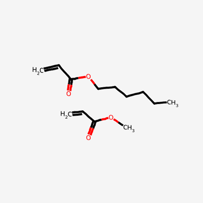 C=CC(=O)OC.C=CC(=O)OCCCCCC